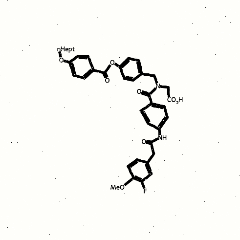 CCCCCCCOc1ccc(C(=O)Oc2ccc(CN(CC(=O)O)C(=O)c3ccc(NC(=O)Cc4ccc(OC)c(F)c4)cc3)cc2)cc1